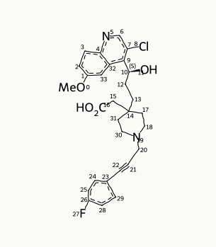 COc1ccc2ncc(Cl)c([C@@H](O)CCC3(CC(=O)O)CCN(CC#Cc4ccc(F)cc4)CC3)c2c1